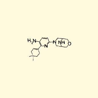 CC1(C)CC=C(c2nc(N3CC4COCC(C3)N4)ccc2N)CC1